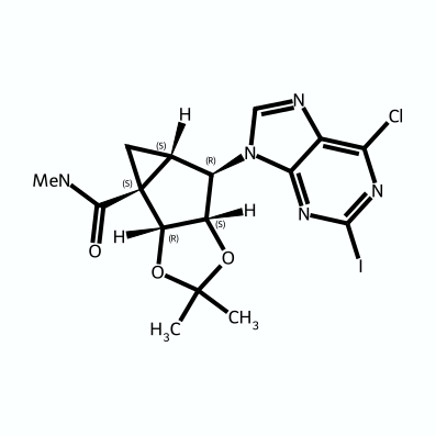 CNC(=O)[C@@]12C[C@@H]1[C@@H](n1cnc3c(Cl)nc(I)nc31)[C@@H]1OC(C)(C)O[C@@H]12